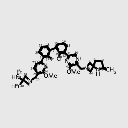 C=C1CCC2(CN(Cc3ncc(-c4cccc(-c5cccc(-c6ccc(CN7CC(CCC)(NCC)C7)c(OC)n6)c5F)c4Cl)nc3OC)C2)N1